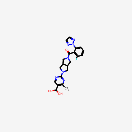 O=C(c1c(F)cccc1-n1nccn1)N1CC2CN(c3ncc(C(O)O)c(C(F)(F)F)n3)CC2C1